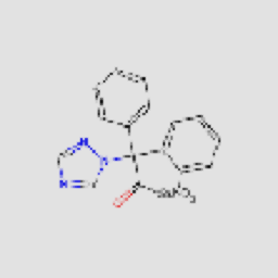 CC(C)(C)C(=O)C(c1ccccc1)(c1ccccc1[N+](=O)[O-])n1cncn1